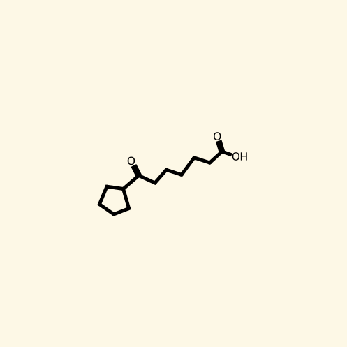 O=C(O)CCCCCC(=O)C1CCCC1